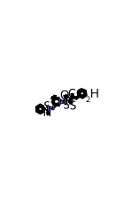 CN1/C(=C/C2=CC(=C3\SC(=S)N(C(Cc4ccccc4)C(=O)O)C3=O)/CC(C)(C)C2)Sc2ccccc21